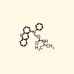 CC(C)NC(=O)OCN(c1ccccc1)c1cccc2nc3ccccc3cc12